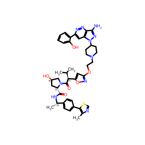 Cc1ncsc1-c1ccc([C@H](C)NC(=O)[C@@H]2C[C@@H](O)CN2C(=O)[C@H](c2cc(OCCN3CCC(n4nc(N)c5nnc(-c6ccccc6O)cc54)CC3)no2)C(C)C)cc1